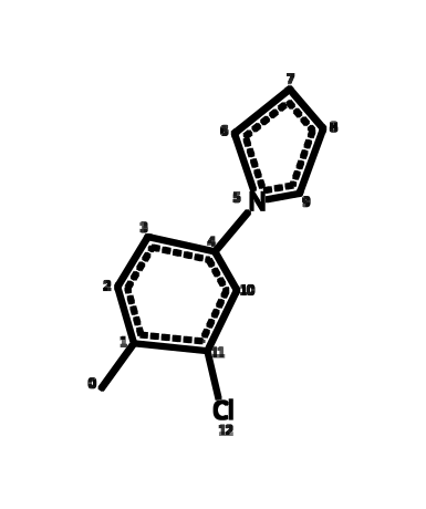 Cc1ccc(-n2cccc2)cc1Cl